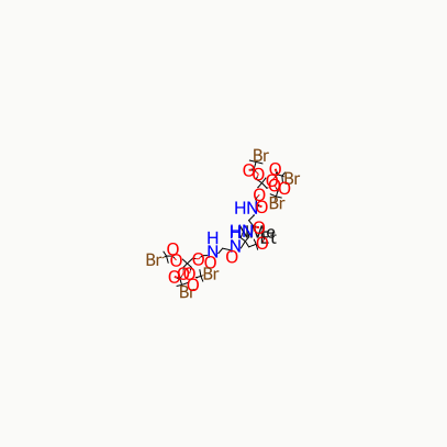 CCOC(C)(C)CC(CNC)(CNC(=O)CCNC(=O)COCC(COC(=O)C(C)(C)Br)(COC(=O)C(C)(C)Br)COC(=O)C(C)(C)Br)CNC(=O)CCNC(=O)COCC(COC(=O)C(C)(C)Br)(COC(=O)C(C)(C)Br)COC(=O)C(C)(C)Br